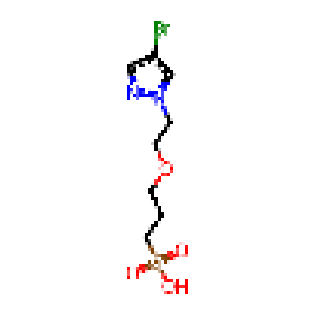 O=S(=O)(O)CCCOCCn1cc(Br)cn1